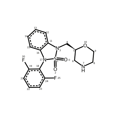 O=S1(=O)N(C[C@@H]2CNCCO2)c2ccccc2N1c1c(F)cccc1F